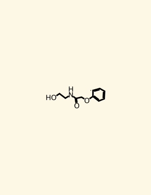 O=C(COc1[c]cccc1)NCCO